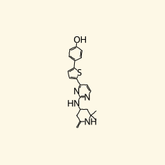 C=C1CC(Nc2nccc(-c3ccc(-c4ccc(O)cc4)s3)n2)CC(C)(C)N1